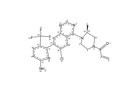 C=CC(=O)N1CCN(c2ncnc3cc(-c4nc(N)ccc4C(F)(F)F)c(Cl)cc23)[C@@H](C)C1